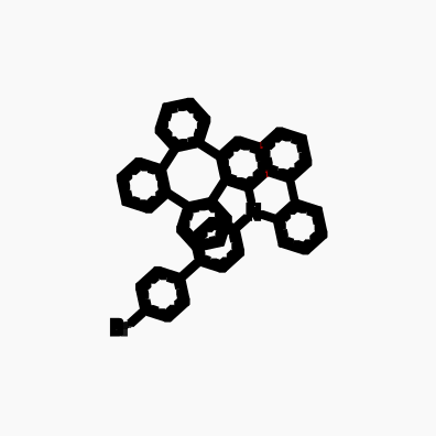 Brc1ccc(-c2ccc(N(c3ccccc3-c3ccccc3)c3cccc4c3-c3ccccc3-c3ccccc3-c3ccccc3-4)cc2)cc1